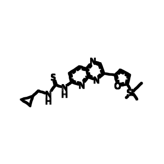 C[Si](C)(C)c1ccc(-c2cnc3ccc(NC(=S)NCC4CC4)nc3n2)o1